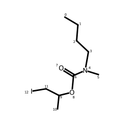 CCCCN(C)C(=O)OC(C)CI